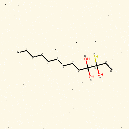 CCCCCCCCCC(O)(O)C(O)(S)CC